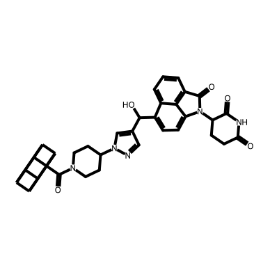 O=C1CCC(N2C(=O)c3cccc4c(C(O)c5cnn(C6CCN(C(=O)C78C9C%10C%11C9C7C%11C%108)CC6)c5)ccc2c34)C(=O)N1